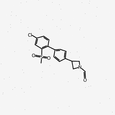 CS(=O)(=O)c1cc(Cl)ccc1-c1ccc(C2CN(C=O)C2)cc1